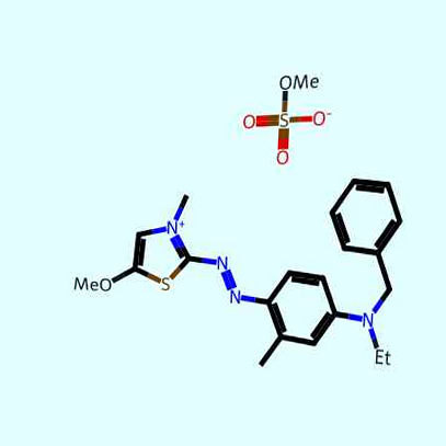 CCN(Cc1ccccc1)c1ccc(N=Nc2sc(OC)c[n+]2C)c(C)c1.COS(=O)(=O)[O-]